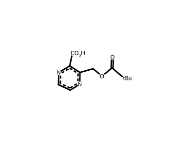 CC(C)(C)C(=O)OCc1nccnc1C(=O)O